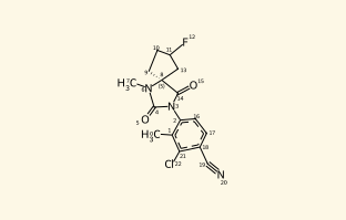 Cc1c(N2C(=O)N(C)[C@]3(CCC(F)C3)C2=O)ccc(C#N)c1Cl